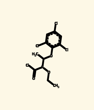 CCON(C(=O)Cl)C(C)Oc1c(Cl)cc(Cl)cc1Cl